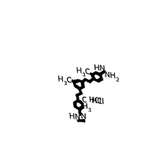 Cc1cc(CCc2ccc(C(=N)N)cc2C)cc(CCc2ccc(C3=NCCN3)cc2C)c1.Cl.Cl